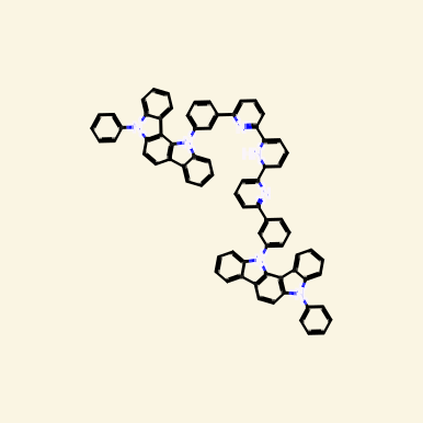 C1=CC(c2cccc(-c3cccc(-n4c5ccccc5c5ccc6c(c7ccccc7n6-c6ccccc6)c54)c3)n2)NC(c2cccc(-c3cccc(-n4c5ccccc5c5ccc6c(c7ccccc7n6-c6ccccc6)c54)c3)n2)=C1